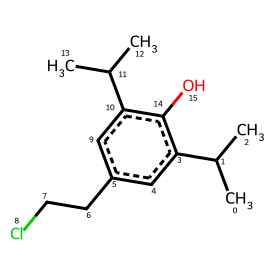 CC(C)c1cc(CCCl)cc(C(C)C)c1O